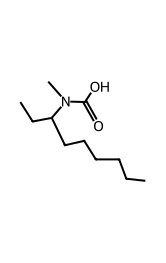 CCCCCCC(CC)N(C)C(=O)O